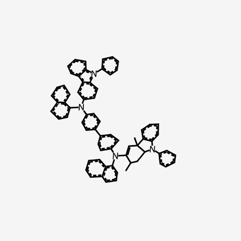 CC1CC2N(c3ccccc3)c3ccccc3C2(C)C=C1N(c1ccc(-c2ccc(N(c3ccc4c(c3)c3ccccc3n4-c3ccccc3)c3cccc4ccccc34)cc2)cc1)c1cccc2ccccc12